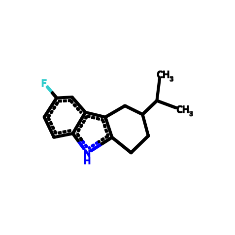 CC(C)C1CCc2[nH]c3ccc(F)cc3c2C1